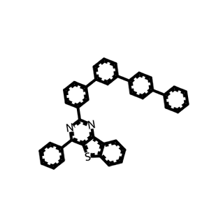 c1ccc(-c2ccc(-c3cccc(-c4cccc(-c5nc(-c6ccccc6)c6sc7ccccc7c6n5)c4)c3)cc2)cc1